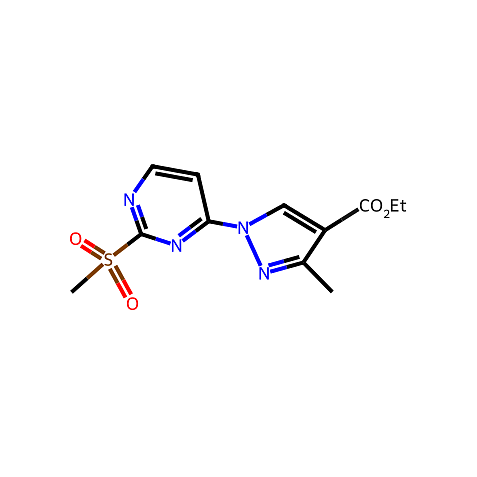 CCOC(=O)c1cn(-c2ccnc(S(C)(=O)=O)n2)nc1C